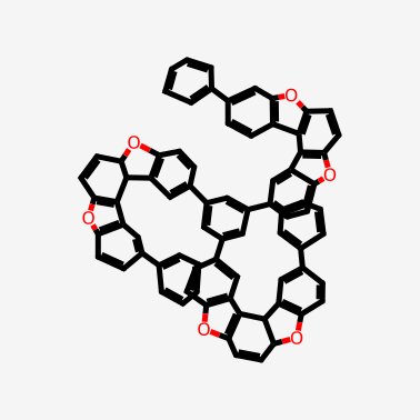 C1=CC2Oc3ccc(-c4cc(-c5ccc6oc7c(c6c5)C5c6cc(-c8ccccc8)ccc6OC5C=C7)cc(-c5ccc6oc7ccc8oc9cc(-c%10ccccc%10)ccc9c8c7c6c5)c4)cc3C2c2c1oc1ccc(-c3ccccc3)cc21